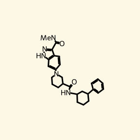 CNC(=O)c1n[nH]c2cc(N3CCCC(C(=O)NC4CCCC(c5ccccc5)C4)C3)ccc12